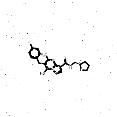 Cc1nc2c(C(=O)NC[C@H]3CCCO3)cnn2c(O)c1Cc1ccc(Cl)cc1